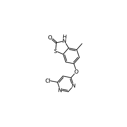 Cc1cc(Oc2cc(Cl)ncn2)cc2sc(=O)[nH]c12